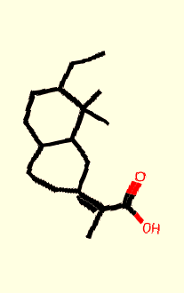 CCC1CCC2CCC(=C(C)C(=O)O)CC2C1(C)C